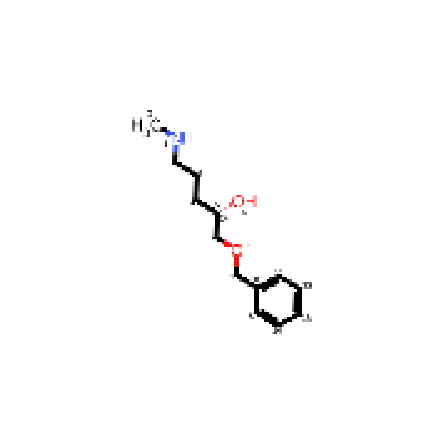 CNCCC[C@H](O)COCc1ccccc1